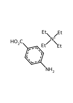 CC[N+](CC)(CC)CC.Nc1ccc(C(=O)O)cc1